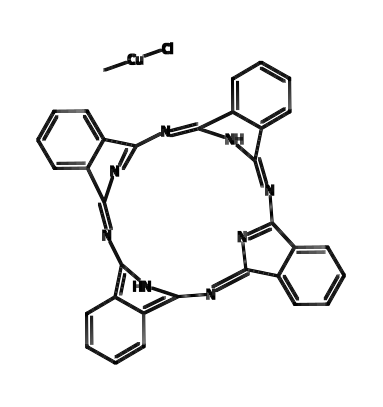 [CH3][Cu][Cl].c1ccc2c(c1)-c1nc-2nc2[nH]c(nc3nc(nc4[nH]c(n1)c1ccccc41)-c1ccccc1-3)c1ccccc21